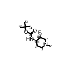 CN1CC[C@@H](NC(=O)OC(C)(C)C)[C@@H](F)C1